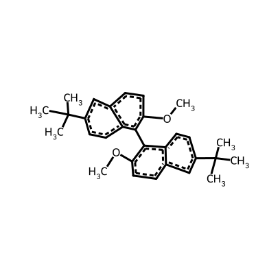 COc1ccc2cc(C(C)(C)C)ccc2c1-c1c(OC)ccc2cc(C(C)(C)C)ccc12